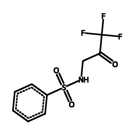 O=C(CNS(=O)(=O)c1ccccc1)C(F)(F)F